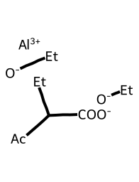 CCC(C(C)=O)C(=O)[O-].CC[O-].CC[O-].[Al+3]